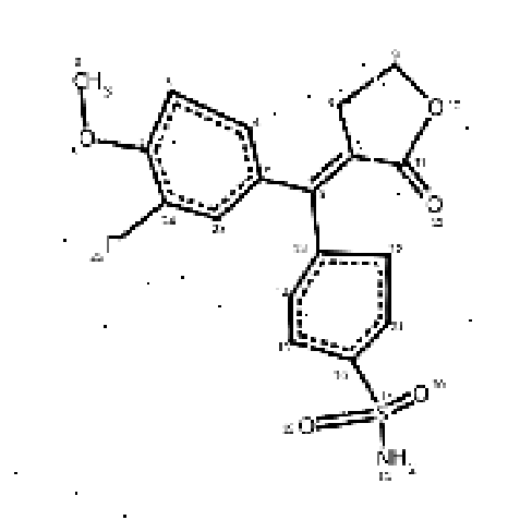 COc1ccc(C(=C2CCOC2=O)c2ccc(S(N)(=O)=O)cc2)cc1F